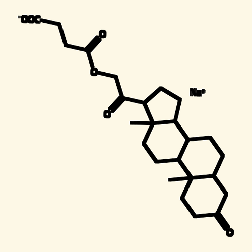 CC12CCC(=O)CC1CCC1C2CCC2(C)C(C(=O)COC(=O)CCC(=O)[O-])CCC12.[Na+]